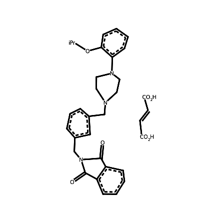 CC(C)Oc1ccccc1N1CCN(Cc2cccc(CN3C(=O)c4ccccc4C3=O)c2)CC1.O=C(O)C=CC(=O)O